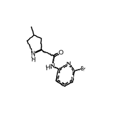 CC1CNC(C(=O)Nc2cccc(Br)n2)C1